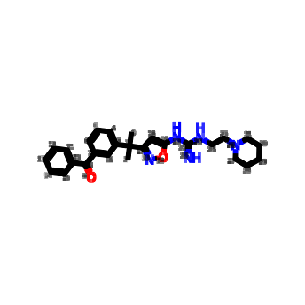 CC(C)(c1cccc(C(=O)c2ccccc2)c1)c1cc(NC(=N)NCCN2CCCCC2)on1